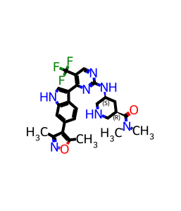 Cc1noc(C)c1-c1ccc2c(-c3nc(N[C@@H]4CNC[C@H](C(=O)N(C)C)C4)ncc3C(F)(F)F)c[nH]c2c1